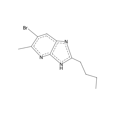 CCCCc1nc2cc(Br)c(C)nc2[nH]1